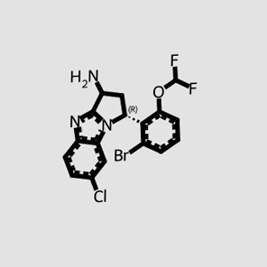 NC1C[C@H](c2c(Br)cccc2OC(F)F)n2c1nc1ccc(Cl)cc12